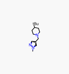 Cn1cc(CN2CCC(C(C)(C)C)CC2)cn1